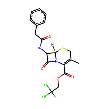 CC1=C(C(=O)OCC(Cl)(Cl)Cl)N2C(=O)C(NC(=O)Cc3ccccc3)[C@H]2SC1